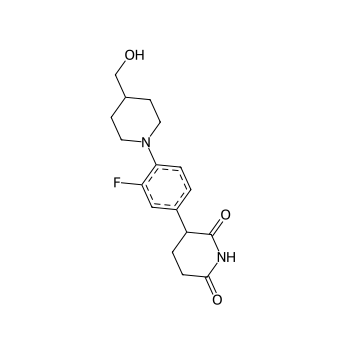 O=C1CCC(c2ccc(N3CCC(CO)CC3)c(F)c2)C(=O)N1